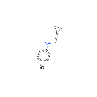 CC(C)c1ccc(NC=C2CC2)cc1